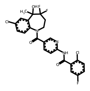 CC1(O)c2cc(Cl)ccc2N(C(=O)c2ccc(NC(=O)c3cc(F)ccc3Cl)nc2)CCC1(F)F